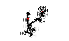 O=C(O)CC[C@H](NC(=O)N[C@@H](CCCCN(CC(=O)O)C(=O)COCCOCCNC(=O)[C@H](CCCCNC(=O)CCCc1ccc(I)cc1)NC(=O)CN1CCN(CC(=O)O)CCN(CC(=O)O)CCN(CC(=O)O)CC1)C(=O)O)C(=O)O